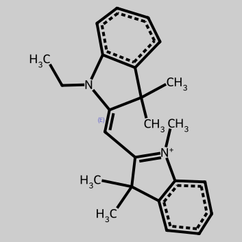 CCN1/C(=C/C2=[N+](C)c3ccccc3C2(C)C)C(C)(C)c2ccccc21